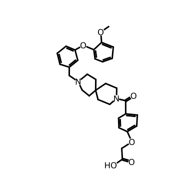 COc1ccccc1Oc1cccc(CN2CCC3(CC2)CCN(C(=O)c2ccc(OCC(=O)O)cc2)CC3)c1